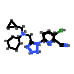 N#Cc1nc(-n2nnnc2CN(CC2CC2)C2CCCCC2)ccc1Cl